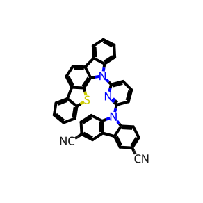 N#Cc1ccc2c(c1)c1cc(C#N)ccc1n2-c1cccc(-n2c3ccccc3c3ccc4c5ccccc5sc4c32)n1